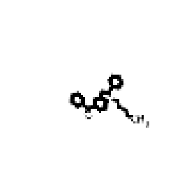 CCCCCn1c(-c2ccccc2)[c]c2cc(C(=O)c3ccccc3)ccc21